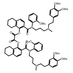 COc1ccc(CCN(C)CCCN(C(=O)c2ccc3c(c2OC(=O)C(=O)Oc2c(C(=O)N(CCCN(C)CCc4ccc(OC)c(OC)c4)c4ccccc4OCC(C)C)ccc4c2CCCC4)CCCC3)c2ccccc2OCC(C)C)cc1OC